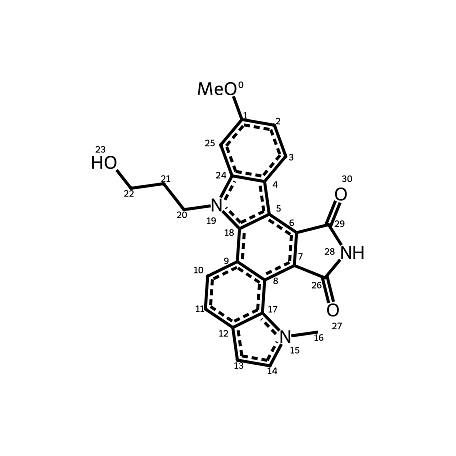 COc1ccc2c3c4c(c5c(ccc6ccn(C)c65)c3n(CCCO)c2c1)C(=O)NC4=O